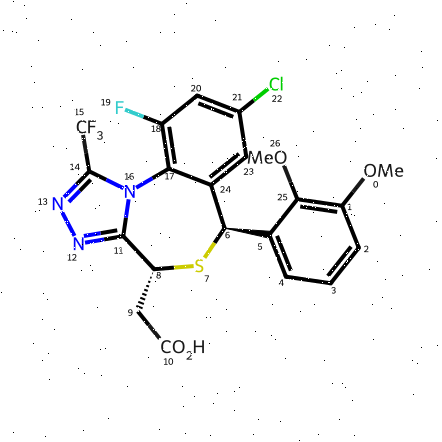 COc1cccc([C@H]2S[C@H](CC(=O)O)c3nnc(C(F)(F)F)n3-c3c(F)cc(Cl)cc32)c1OC